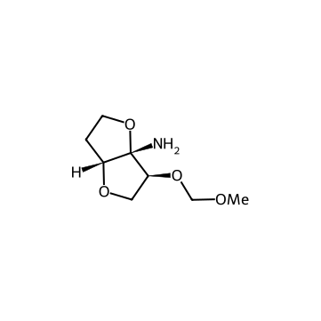 COCO[C@H]1CO[C@@H]2CCO[C@]12N